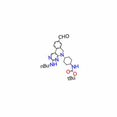 CCCCNc1ncc2c(n1)N([C@H]1CC[C@H](NC(=O)OC(C)(C)C)CC1)Cc1cc(C=O)ccc1-2